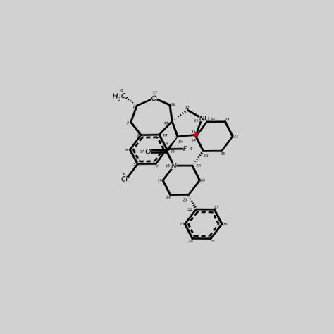 C[C@H]1Cc2cc(Cl)cc(F)c2[C@@]2(CNC[C@H]2C(=O)N2CC[C@@H](c3ccccc3)C[C@H]2C2CCCCC2)CO1